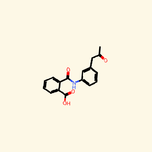 CC(=O)Cc1cccc(NC(=O)c2ccccc2C(=O)O)c1